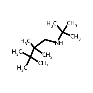 CC(C)(C)NCC(C)(C)C(C)(C)C